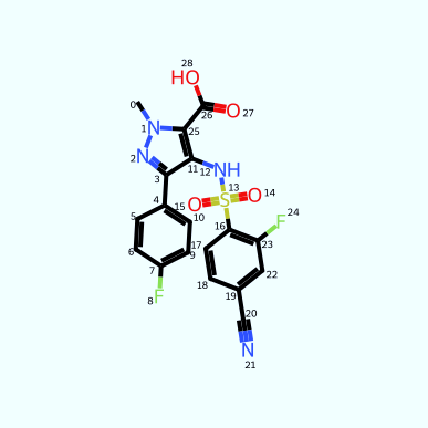 Cn1nc(-c2ccc(F)cc2)c(NS(=O)(=O)c2ccc(C#N)cc2F)c1C(=O)O